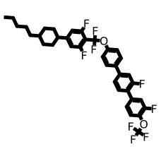 CCCCCC1CCC(c2cc(F)c(C(F)(F)Oc3ccc(-c4ccc(-c5ccc(OC(F)(F)F)c(F)c5)c(F)c4)cc3)c(F)c2)CC1